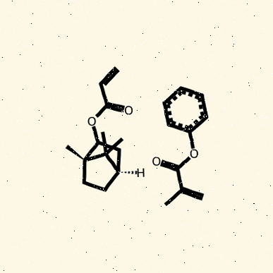 C=C(C)C(=O)Oc1ccccc1.C=CC(=O)OC1C[C@H]2CC[C@@]1(C)C2(C)C